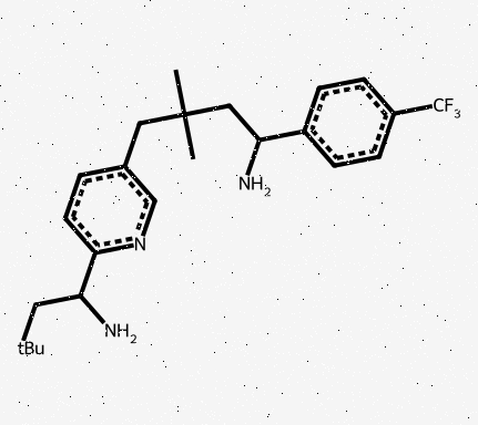 CC(C)(C)CC(N)c1ccc(CC(C)(C)CC(N)c2ccc(C(F)(F)F)cc2)cn1